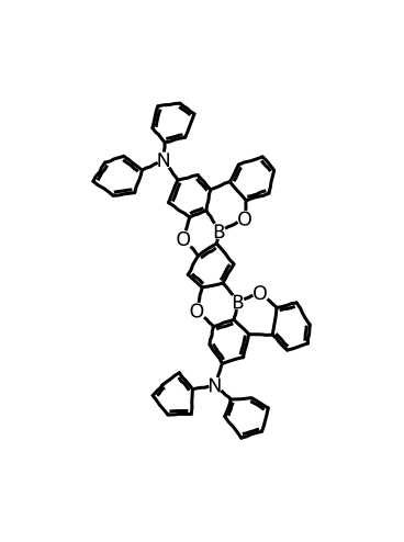 c1ccc(N(c2ccccc2)c2cc3c4c(c2)-c2ccccc2OB4c2cc4c(cc2O3)Oc2cc(N(c3ccccc3)c3ccccc3)cc3c2B4Oc2ccccc2-3)cc1